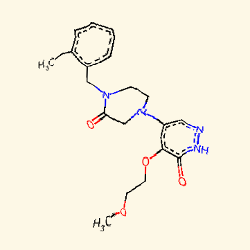 COCCOc1c(N2CCN(Cc3ccccc3C)C(=O)C2)cn[nH]c1=O